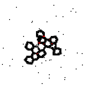 c1cc(-c2cccc3c2sc2ccccc23)cc(N(c2ccccc2-c2cccc3ccccc23)c2ccccc2-c2cccc3c2sc2ccccc23)c1